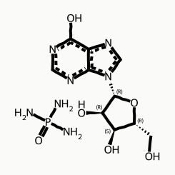 NP(N)(N)=O.OC[C@H]1O[C@@H](n2cnc3c(O)ncnc32)[C@H](O)[C@@H]1O